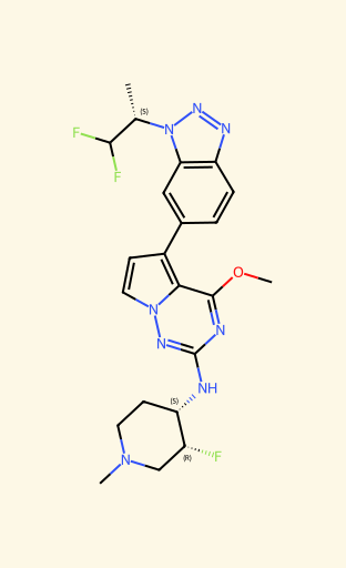 COc1nc(N[C@H]2CCN(C)C[C@H]2F)nn2ccc(-c3ccc4nnn([C@@H](C)C(F)F)c4c3)c12